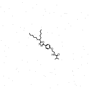 CCCCCCC(CCCCC)c1nnc(-c2ccc(OCCNC(=O)C(C)C)cc2)o1